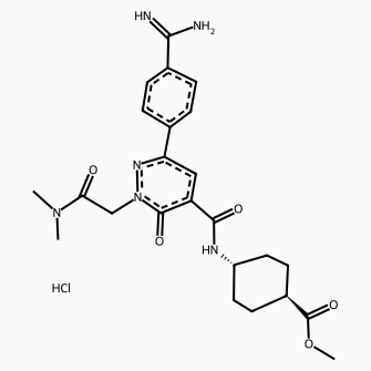 COC(=O)[C@H]1CC[C@H](NC(=O)c2cc(-c3ccc(C(=N)N)cc3)nn(CC(=O)N(C)C)c2=O)CC1.Cl